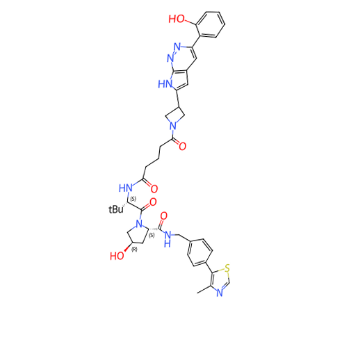 Cc1ncsc1-c1ccc(CNC(=O)[C@@H]2C[C@@H](O)CN2C(=O)[C@@H](NC(=O)CCCC(=O)N2CC(c3cc4cc(-c5ccccc5O)nnc4[nH]3)C2)C(C)(C)C)cc1